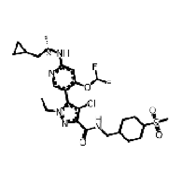 CCn1nc(C(=O)NCC2CCC(S(C)(=O)=O)CC2)c(Cl)c1-c1cnc(N[C@@H](C)CC2CC2)cc1OC(F)F